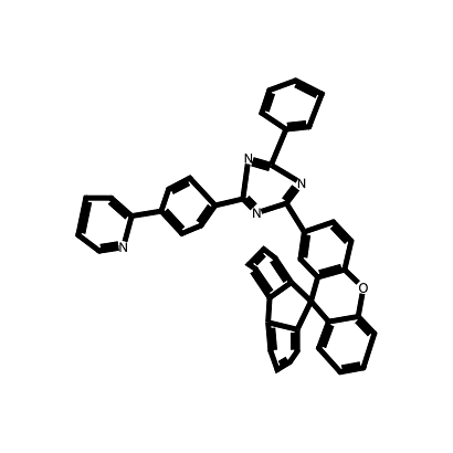 c1ccc(-c2nc(-c3ccc(-c4ccccn4)cc3)nc(-c3ccc4c(c3)C3(c5ccccc5O4)c4ccccc4-c4ccccc43)n2)cc1